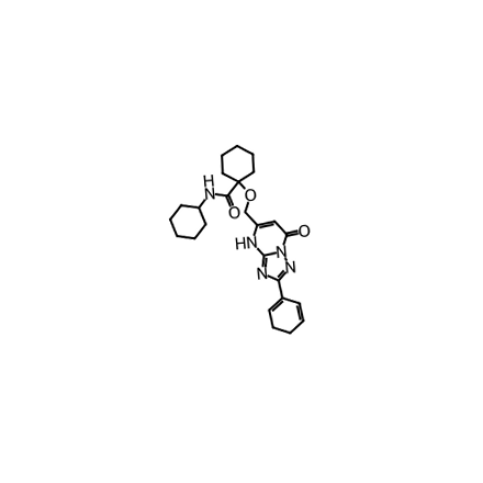 O=C(NC1CCCCC1)C1(OCc2cc(=O)n3nc(C4=CCCC=C4)nc3[nH]2)CCCCC1